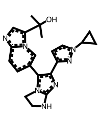 CC(C)(O)c1cnc2ccc(-c3c(-c4ccn(C5CC5)n4)nc4n3CCN4)cn12